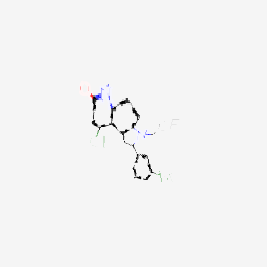 Cn1c(=O)cc(Cl)c2c3c(ccc21)N(CC(F)(F)F)C(c1cccc(Br)c1)C3